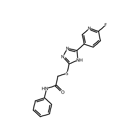 O=C(CSc1nnc(-c2ccc(F)nc2)[nH]1)Nc1ccccc1